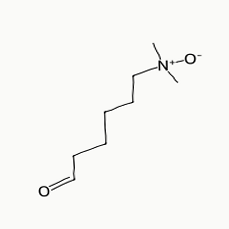 C[N+](C)([O-])CCCCCC=O